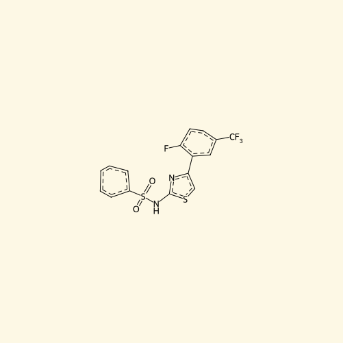 O=S(=O)(Nc1nc(-c2cc(C(F)(F)F)ccc2F)cs1)c1ccccc1